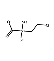 O=C([O-])[N+](S)(S)CCCl